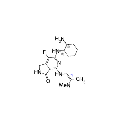 CN/C(C)=C\Nc1nc(N[C@@H]2CCCC[C@@H]2N)c(F)c2c1C(=O)NC2